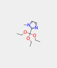 CCOC(OCC)(OCC)c1nccn1C